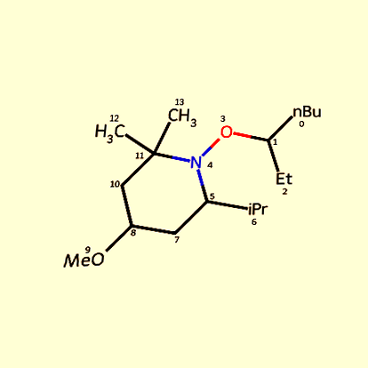 CCCCC(CC)ON1C(C(C)C)CC(OC)CC1(C)C